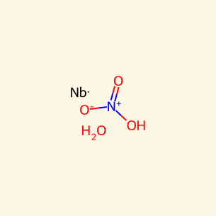 O.O=[N+]([O-])O.[Nb]